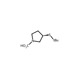 CC(C)(C)S[C@@H]1CCN(C(=O)O)C1